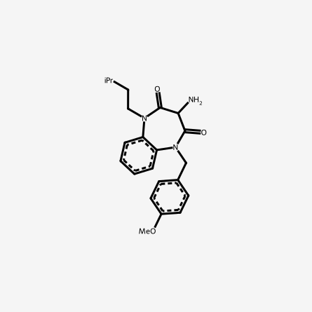 COc1ccc(CN2C(=O)C(N)C(=O)N(CCC(C)C)c3ccccc32)cc1